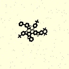 CC(C)(C)c1ccc(N2B3c4oc5ccc(-c6ccccc6)cc5c4-n4c5ccc(C(C)(C)C)cc5c5c6sc7ccccc7c6c(c3c54)-c3cc4oc5cc6c(cc5c4cc32)C(C)(C)CCC6(C)C)cc1